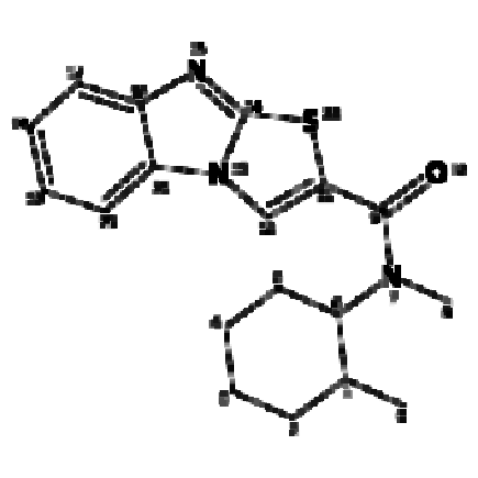 CC1CCCCC1N(C)C(=O)c1cn2c(nc3ccccc32)s1